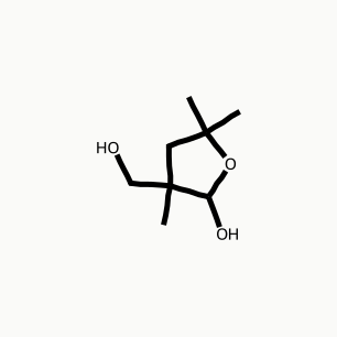 CC1(C)CC(C)(CO)C(O)O1